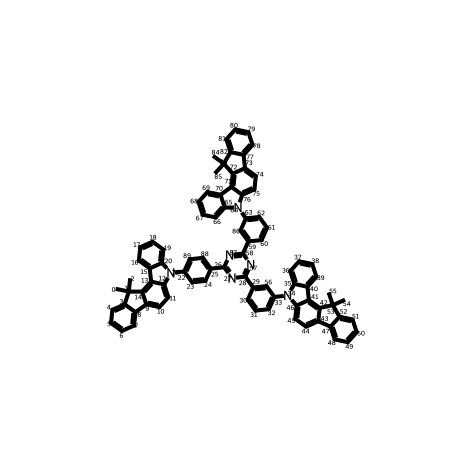 CC1(C)c2ccccc2-c2ccc3c(c21)c1ccccc1n3-c1ccc(-c2nc(-c3cccc(-n4c5ccccc5c5c6c(ccc54)-c4ccccc4C6(C)C)c3)nc(-c3cccc(-n4c5ccccc5c5c6c(ccc54)-c4ccccc4C6(C)C)c3)n2)cc1